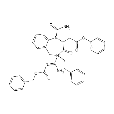 NC(=O)N1c2ccccc2C[N+](CCc2ccccc2)(C(N)=NC(=O)OCc2ccccc2)C(=O)C1CC(=O)Oc1ccccc1